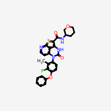 Cc1c(N2C(=O)Nc3c(C(=O)NC4CCCOC4)sc4nccc2c34)ccc(Oc2ccccc2)c1F